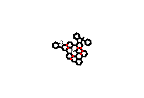 CC1(c2ccccc2)c2ccccc2-c2c(-c3ccccc3N(c3ccccc3-c3ccc4oc5ccccc5c4c3)c3ccccc3-c3cccc4cccc(-c5ccccc5)c34)cccc21